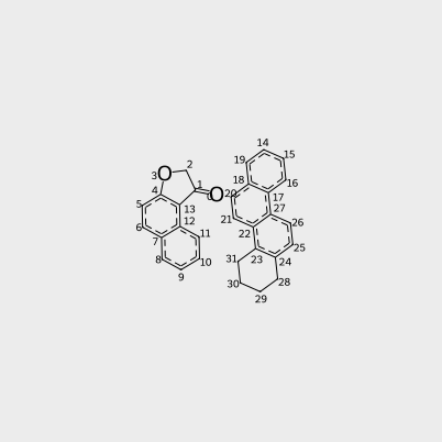 O=C1COc2ccc3ccccc3c21.c1ccc2c(c1)ccc1c3c(ccc12)CCCC3